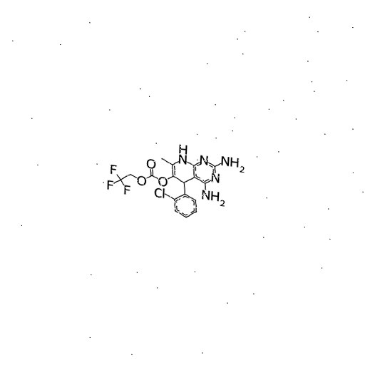 CC1=C(OC(=O)OCC(F)(F)F)C(c2ccccc2Cl)c2c(N)nc(N)nc2N1